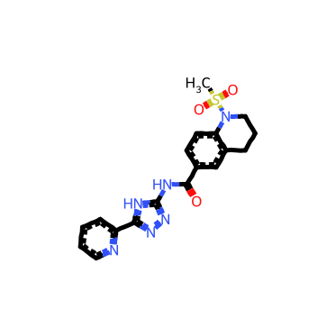 CS(=O)(=O)N1CCCc2cc(C(=O)Nc3nnc(-c4ccccn4)[nH]3)ccc21